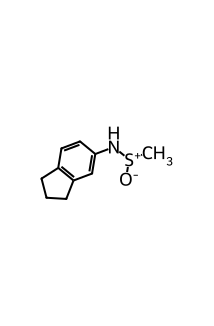 C[S+]([O-])Nc1ccc2c(c1)CCC2